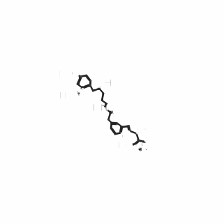 COc1cc(C)ccc1CC(C)CCCNC(=O)Cc1ccc2oc(C(O)c3c(C)noc3C)cc2c1